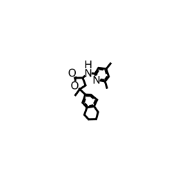 Cc1cc(C)nc(NC2CC(C)(c3ccc4c(c3)CCCC4)OC2=O)c1